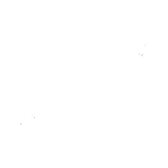 CCCNCCOc1ccc2c(c1)sc1ccc(OCCNCCC)cc12